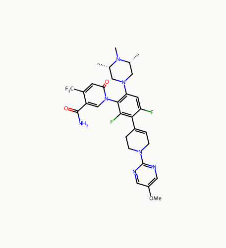 COc1cnc(N2CC=C(c3c(F)cc(N4C[C@@H](C)N(C)[C@@H](C)C4)c(-n4cc(C(N)=O)c(C(F)(F)F)cc4=O)c3F)CC2)nc1